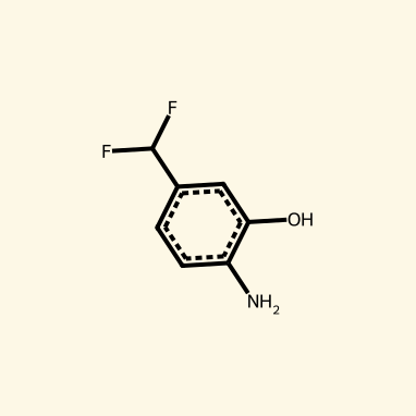 Nc1ccc(C(F)F)cc1O